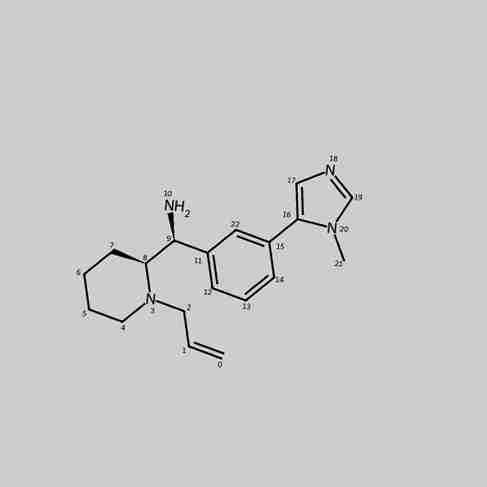 C=CCN1CCCC[C@H]1[C@@H](N)c1cccc(-c2cncn2C)c1